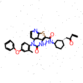 C=CC(=O)C[C@@H]1CCCC(NC(=O)c2sc3nccc4c3c2NC(=O)N4c2ccc(Oc3ccccc3)cc2C)C1